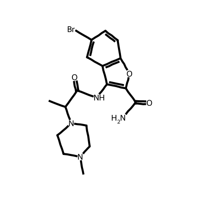 CC(C(=O)Nc1c(C(N)=O)oc2ccc(Br)cc12)N1CCN(C)CC1